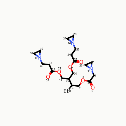 CCC(COC(=O)CN1CC1)C(COC(=O)CCN1CC1)COC(=O)CCN1CC1